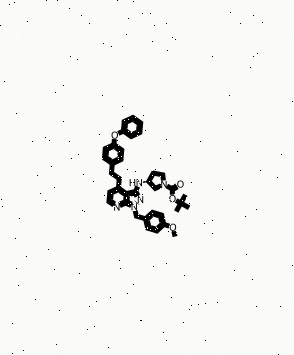 COc1ccc(Cn2nc(N[C@@H]3CCN(C(=O)OC(C)(C)C)C3)c3c(CCc4ccc(Oc5ccccc5)cc4)ccnc32)cc1